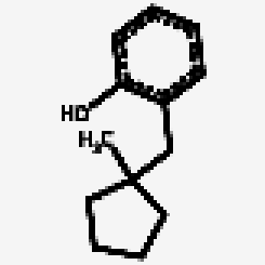 CC1(Cc2ccccc2O)CCCC1